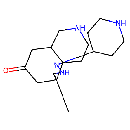 CC1NN(C2CCNCC2)C23CCNCC2CC(=O)CC13